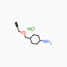 C#CCOCC1CCC(N)CC1.Cl